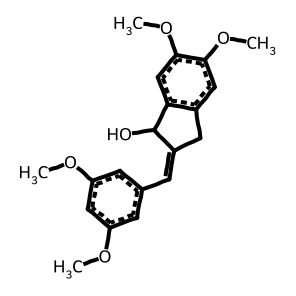 COc1cc(C=C2Cc3cc(OC)c(OC)cc3C2O)cc(OC)c1